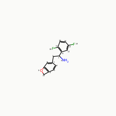 NC(Cc1ccc2c(c1)OC2)c1cc(F)ccc1F